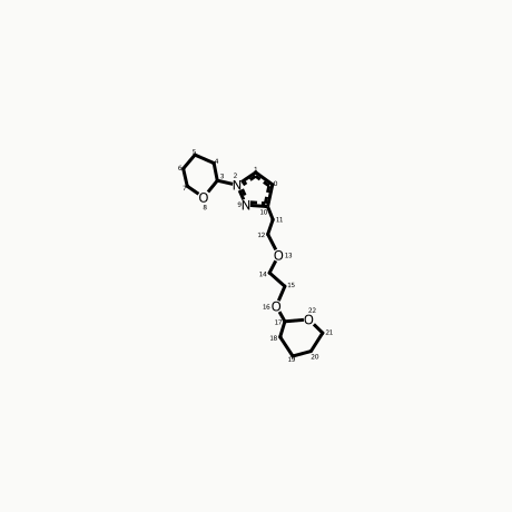 c1cn(C2CCCCO2)nc1CCOCCOC1CCCCO1